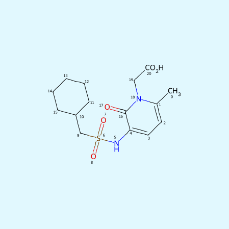 Cc1ccc(NS(=O)(=O)CC2CCCCC2)c(=O)n1CC(=O)O